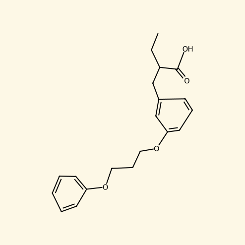 CCC(Cc1cccc(OCCCOc2ccccc2)c1)C(=O)O